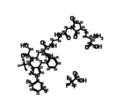 CC(C)(C)[C@H](c1nn(-c2cc(F)ccc2F)cc1Cc1ccccc1)N(CC[C@H](N)C(=O)NCCNC(=O)CN1C(=O)CC(SC[C@H](N)C(=O)O)C1=O)C(=O)CO.O=C(O)C(F)(F)F